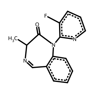 CC1N=Cc2ccccc2N(c2ncccc2F)C1=O